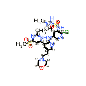 Cc1nc(-c2cc(CCN3CCOCC3)cnc2Nc2cnc(Cl)c(NS(=O)(=O)NN(C)C)c2)cc(S(C)(=O)=O)n1